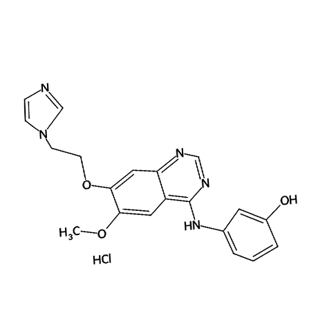 COc1cc2c(Nc3cccc(O)c3)ncnc2cc1OCCn1ccnc1.Cl